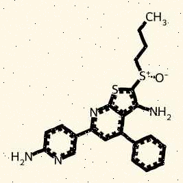 CCCC[S@+]([O-])c1sc2nc(-c3ccc(N)nc3)cc(-c3ccccc3)c2c1N